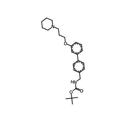 CC(C)(C)OC(=O)NCc1ccc(-c2cccc(OCCCN3CCCCC3)c2)cc1